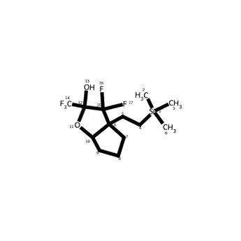 C[Si](C)(C)CCC12CCCC1OC(O)(C(F)(F)F)C2(F)F